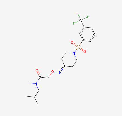 CC(C)CN(C)C(=O)CON=C1CCN(S(=O)(=O)c2cccc(C(F)(F)F)c2)CC1